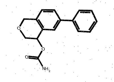 NC(=O)OC1COCc2ccc(-c3ccccc3)cc21